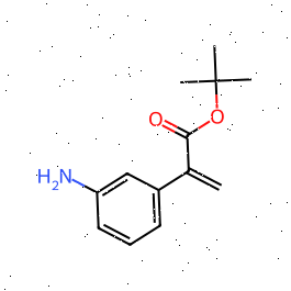 C=C(C(=O)OC(C)(C)C)c1cccc(N)c1